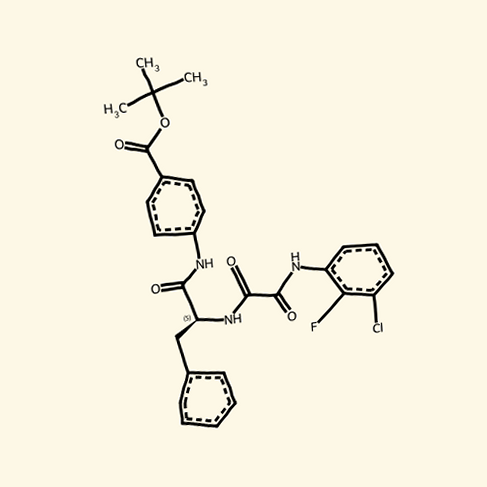 CC(C)(C)OC(=O)c1ccc(NC(=O)[C@H](Cc2ccccc2)NC(=O)C(=O)Nc2cccc(Cl)c2F)cc1